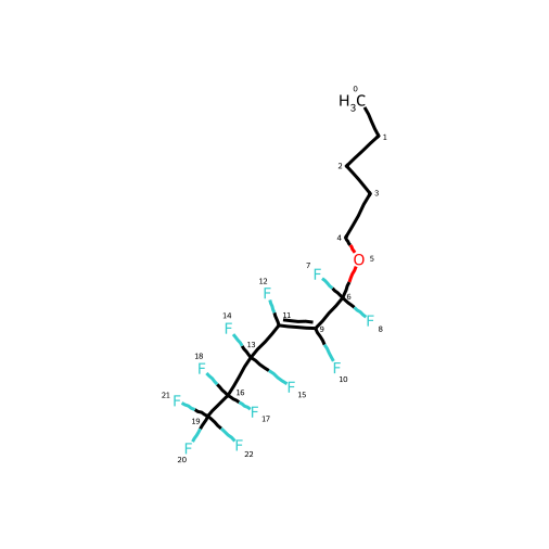 CCCCCOC(F)(F)C(F)=C(F)C(F)(F)C(F)(F)C(F)(F)F